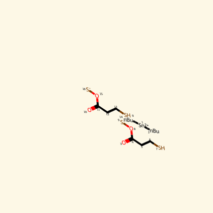 CCC[CH2][Sn+2][CH2]CCC.O=C(CCS)O[S-].O=C(CCS)O[S-]